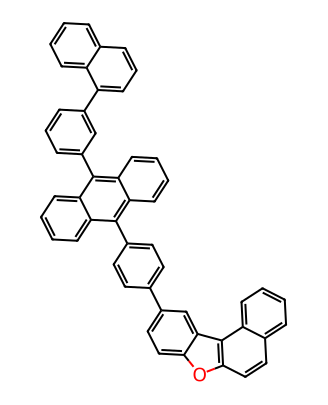 c1cc(-c2cccc3ccccc23)cc(-c2c3ccccc3c(-c3ccc(-c4ccc5oc6ccc7ccccc7c6c5c4)cc3)c3ccccc23)c1